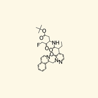 CCC(C(=O)NC(CC(=O)OC(C)(C)C)C(=O)CF)c1ccnn(Cc2nccc3ccccc23)c1=O